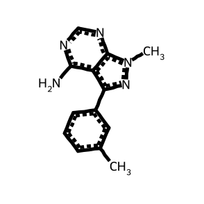 Cc1cccc(-c2nn(C)c3ncnc(N)c23)c1